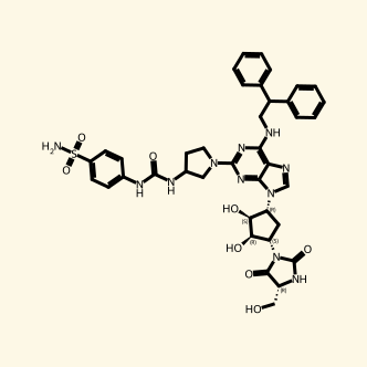 NS(=O)(=O)c1ccc(NC(=O)NC2CCN(c3nc(NCC(c4ccccc4)c4ccccc4)c4ncn([C@@H]5C[C@H](N6C(=O)N[C@H](CO)C6=O)[C@@H](O)[C@H]5O)c4n3)C2)cc1